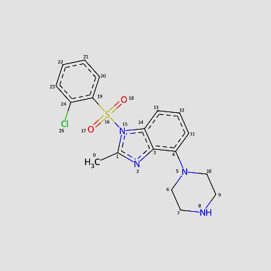 Cc1nc2c(N3CCNCC3)cccc2n1S(=O)(=O)c1ccccc1Cl